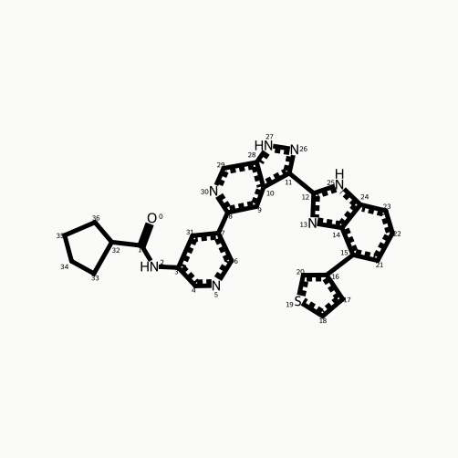 O=C(Nc1cncc(-c2cc3c(-c4nc5c(-c6ccsc6)cccc5[nH]4)n[nH]c3cn2)c1)C1CCCC1